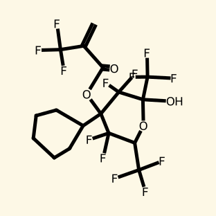 C=C(C(=O)OC1(C2CCCCC2)C(F)(F)C(C(F)(F)F)OC(O)(C(F)(F)F)C1(F)F)C(F)(F)F